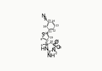 CN1C(=N)N[C@](C)(c2csc(-c3cccc(C#N)c3)c2)CS1(=O)=O